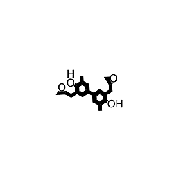 Cc1cc(-c2cc(C)c(O)c(CC3CO3)c2)cc(CC2CO2)c1O